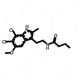 CCCC(=O)NCCc1c(C)[nH]c2c(Cl)c(Cl)c(OC)cc12